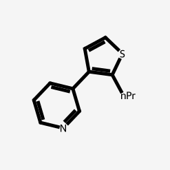 CCCc1sccc1-c1cccnc1